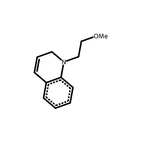 COCCN1CC=Cc2ccccc21